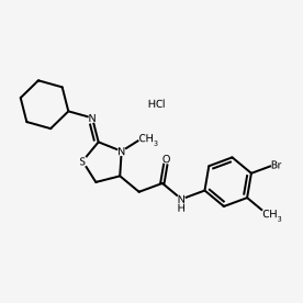 Cc1cc(NC(=O)CC2CS/C(=N\C3CCCCC3)N2C)ccc1Br.Cl